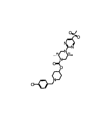 C[C@@H]1CN(c2ncc(S(C)(=O)=O)cn2)[C@@H](C)CN1C(=O)OC1CCN(Cc2ccc(Cl)cc2)CC1